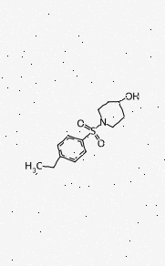 CCc1ccc(S(=O)(=O)N2CCC(O)CC2)cc1